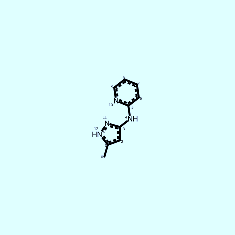 Cc1cc(Nc2ccccn2)n[nH]1